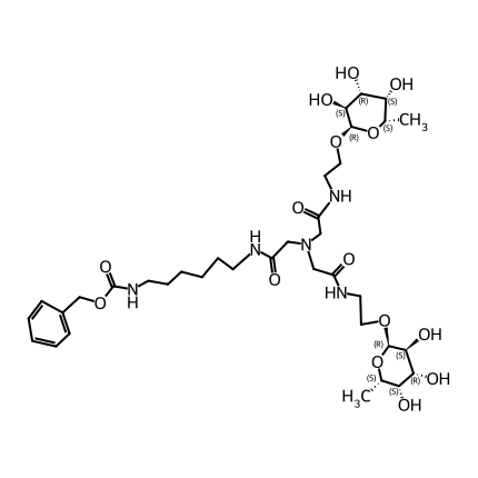 C[C@@H]1O[C@@H](OCCNC(=O)CN(CC(=O)NCCCCCCNC(=O)OCc2ccccc2)CC(=O)NCCO[C@@H]2O[C@@H](C)[C@@H](O)[C@@H](O)[C@@H]2O)[C@@H](O)[C@H](O)[C@@H]1O